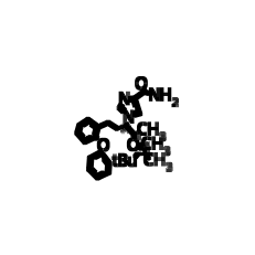 C[C@H](O[Si](C)(C)C(C)(C)C)[C@@H](CCc1ccccc1Oc1ccccc1)n1cnc(C(N)=O)c1